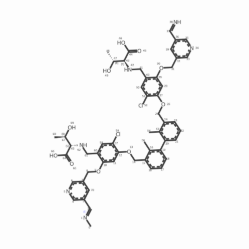 C/N=C/c1cncc(COc2cc(OCc3cccc(-c4cccc(COc5cc(OCc6cncc(C=N)c6)c(CN[C@H](C(=O)O)[C@@H](C)O)cc5Cl)c4C)c3C)c(Cl)cc2CN[C@H](C(=O)O)[C@@H](C)O)c1